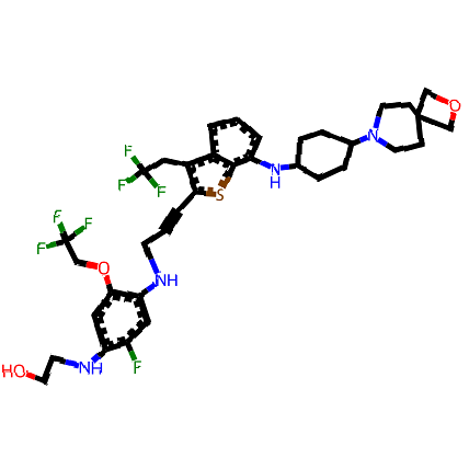 OCCNc1cc(OCC(F)(F)F)c(NCC#Cc2sc3c(NC4CCC(N5CCC6(CC5)COC6)CC4)cccc3c2CC(F)(F)F)cc1F